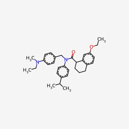 CCOc1ccc2c(c1)C(C(=O)N(Cc1ccc(N(C)CC)cc1)c1ccc(C(C)C)cc1)CCC2